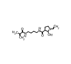 C=CN1CCC(C(=O)NCCCCNC(=O)C(=C)C)C1O